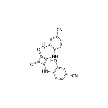 N#Cc1ccc(Nc2c(Nc3ccc(C#N)cc3O)c(=O)c2=O)c(O)c1